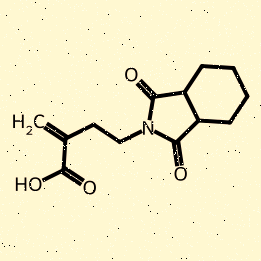 C=C(CCN1C(=O)C2CCCCC2C1=O)C(=O)O